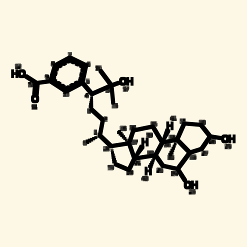 C[C@H](CC[C@H](c1cccc(C(=O)O)c1)C(C)(C)O)[C@H]1CC[C@H]2[C@@H]3CC(O)C4CC(O)CC[C@]4(C)[C@H]3CC[C@]12C